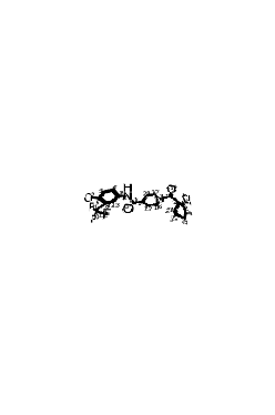 O=C(Nc1ccc(Cl)c(C(F)(F)F)c1)C1CCN(C(=O)c2ccccc2Cl)CC1